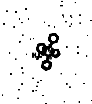 CN(C)[C@@H](C1=C(P(C2CCCCC2)C2CCCCC2)CC=C1)c1ccccc1